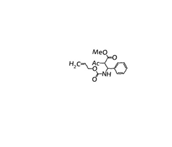 C=CCOC(=O)NC(c1ccccc1)C(C(C)=O)C(=O)OC